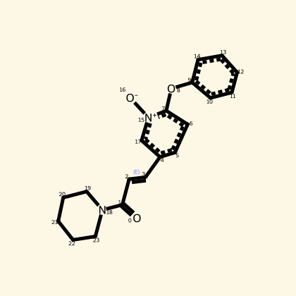 O=C(/C=C/c1ccc(Oc2ccccc2)[n+]([O-])c1)N1CCCCC1